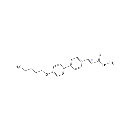 CCCCCOc1ccc(-c2ccc(/C=C/C(=O)OC)cc2)cc1